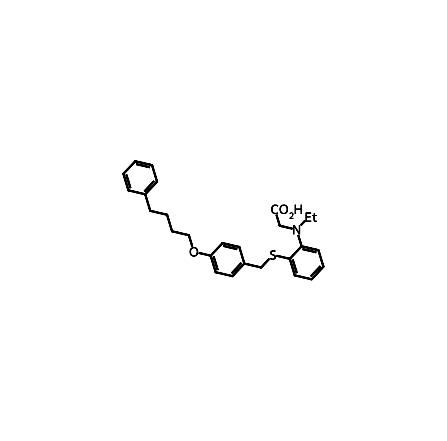 CCN(CC(=O)O)c1ccccc1SCc1ccc(OCCCCc2ccccc2)cc1